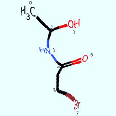 CC(O)NC(=O)CBr